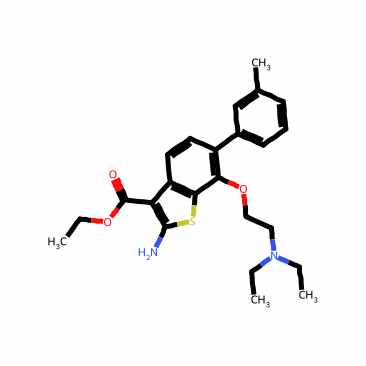 CCOC(=O)c1c(N)sc2c(OCCN(CC)CC)c(-c3cccc(C)c3)ccc12